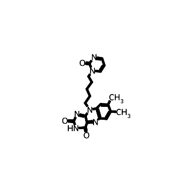 Cc1cc2nc3c(=O)[nH]c(=O)nc-3n(CCCCCn3cccnc3=O)c2cc1C